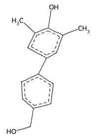 Cc1cc(-c2ccc(CO)cc2)cc(C)c1O